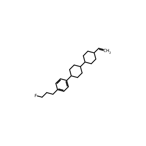 C=CC1CCC(C2CCC(c3ccc(CCCF)cc3)CC2)CC1